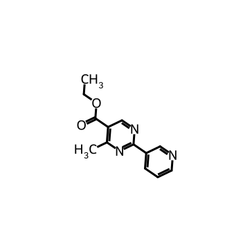 CCOC(=O)c1cnc(-c2cccnc2)nc1C